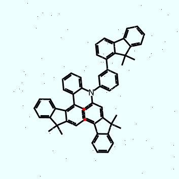 CC1(C)c2ccccc2-c2ccc(N(c3cccc(-c4cccc5c4C(C)(C)c4ccccc4-5)c3)c3ccccc3-c3cccc4c3-c3ccccc3C4(C)C)cc21